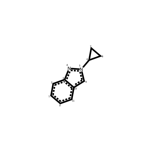 c1ccc2nn(C3CC3)cc2c1